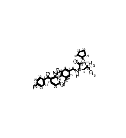 CC(C)C[C@H](NCc1cc(F)c(-n2c(N)c(C(=O)c3ccc(F)cc3)ccc2=O)c(F)c1)C(=O)OC1CCCC1